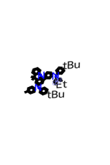 C/C=C(\C=C/CC)N(c1ccc(C(C)(C)C)cc1)c1ccc2c(c1)c1cc(N(c3ccc(C)cc3)c3ccc(C(C)(C)C)cc3)cc3c1n2-c1ccccc1C3(C)C